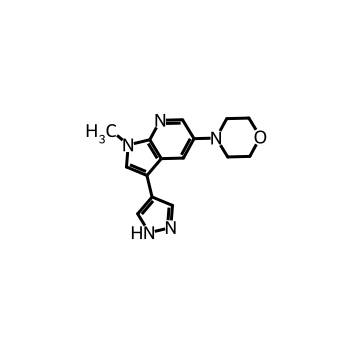 Cn1cc(-c2cn[nH]c2)c2cc(N3CCOCC3)cnc21